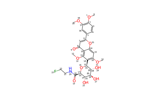 COc1ccc(-c2cc(=O)c3c(OC)c([C@@H]4O[C@H](C(=O)NCCF)[C@@H](O)[C@H](O)[C@H]4O)c(OC)cc3o2)cc1OC